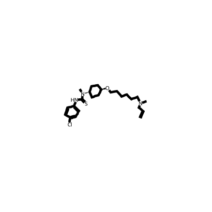 C=CCN(C)CCCCCCO[C@H]1CC[C@H](N(C)C(=S)Nc2ccc(Cl)cc2)CC1